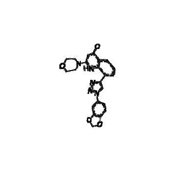 O=c1cc(N2CCOCC2)[nH]c2c(-c3cn(-c4ccc5c(c4)OCO5)nn3)cccc12